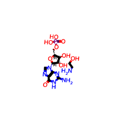 NCCO.Nc1nc2c(ncn2[C@@H]2O[C@H](COP(=O)(O)O)[C@@H](O)[C@H]2O)c(=O)[nH]1